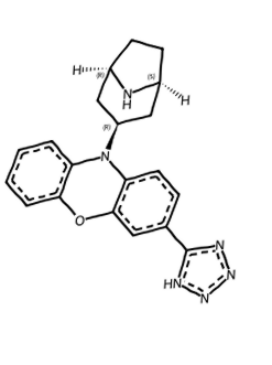 c1ccc2c(c1)Oc1cc(-c3nnn[nH]3)ccc1N2[C@H]1C[C@H]2CC[C@@H](C1)N2